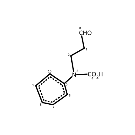 O=CCCN(C(=O)O)c1ccccc1